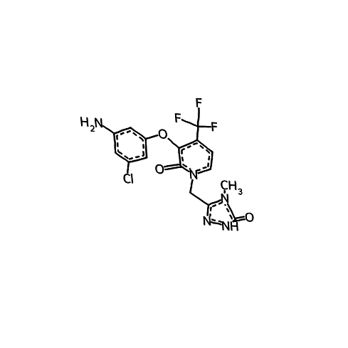 Cn1c(Cn2ccc(C(F)(F)F)c(Oc3cc(N)cc(Cl)c3)c2=O)n[nH]c1=O